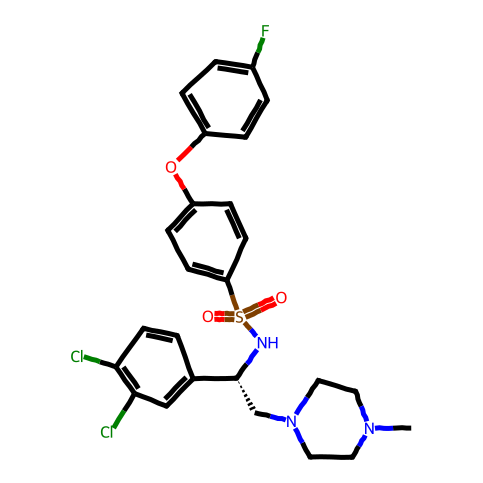 CN1CCN(C[C@@H](NS(=O)(=O)c2ccc(Oc3ccc(F)cc3)cc2)c2ccc(Cl)c(Cl)c2)CC1